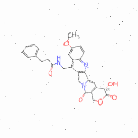 COc1ccc2nc3c(c(CNC(=O)CCc4ccccc4)c2c1)Cn1c-3cc2c(c1=O)COC(=O)[C@H]2O